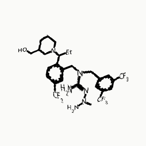 CCC(c1ccc(C(F)(F)F)cc1CN(Cc1cc(C(F)(F)F)cc(C(F)(F)F)c1)/C(N)=N/N(C)N)N1CCCC(CO)C1